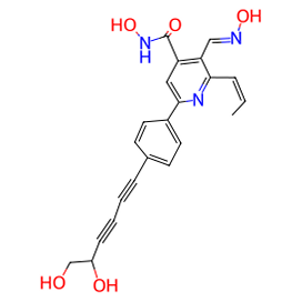 C/C=C\c1nc(-c2ccc(C#CC#CC(O)CO)cc2)cc(C(=O)NO)c1/C=N/O